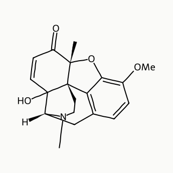 COc1ccc2c3c1O[C@@]1(C)C(=O)C=CC4(O)[C@@H](C2)N(C)CC[C@@]341